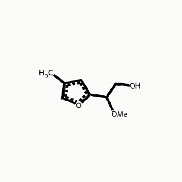 COC(CO)c1cc(C)co1